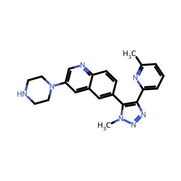 Cc1cccc(-c2nnn(C)c2-c2ccc3ncc(N4CCNCC4)cc3c2)n1